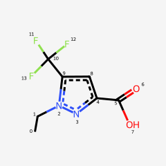 CCn1nc(C(=O)O)cc1C(F)(F)F